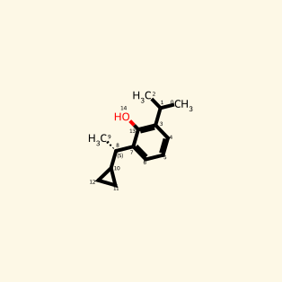 CC(C)c1cccc([C@@H](C)C2CC2)c1O